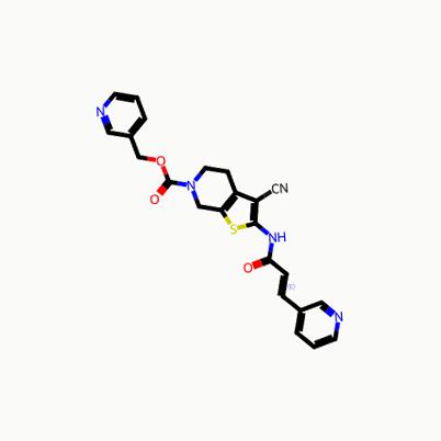 N#Cc1c(NC(=O)/C=C/c2cccnc2)sc2c1CCN(C(=O)OCc1cccnc1)C2